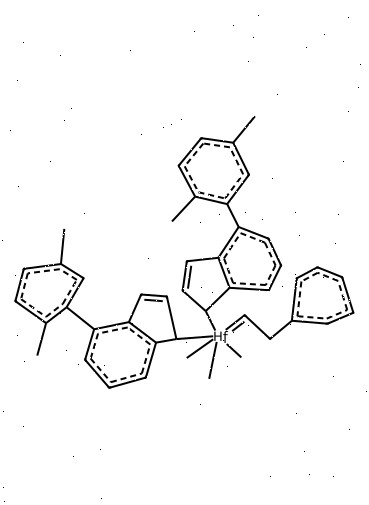 Cc1ccc(C)c(-c2cccc3c2C=C[CH]3[Hf]([CH3])([CH3])([CH3])(=[CH]Cc2ccccc2)[CH]2C=Cc3c(-c4cc(C)ccc4C)cccc32)c1